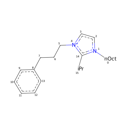 CCCCCCCCn1cc[n+](CCCc2ccccc2)c1C(C)C